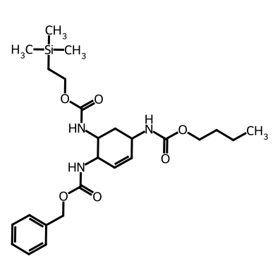 CCCCOC(=O)NC1C=CC(NC(=O)OCc2ccccc2)C(NC(=O)OCC[Si](C)(C)C)C1